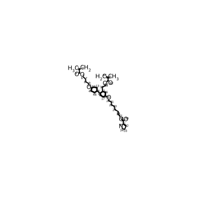 C=C(C)C(=O)OCCCCOc1ccc(-c2ccc(OCCCCCCCCOC(=O)C3=CCC=N3)cc2CCOC(=O)C(=C)C)cc1